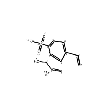 C=CCO.C=Cc1ccc(S(=O)(=O)[O-])cc1.[Na+]